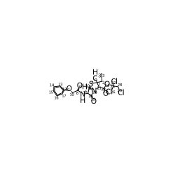 CC1(CI)S[C@@H]2C(NC(=O)COc3ccccc3)C(=O)N2C1C(=O)OC(Cl)(Cl)CCl